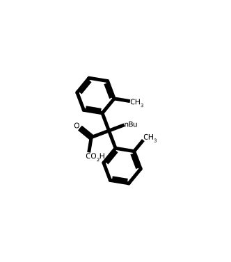 CCCCC(C(=O)C(=O)O)(c1ccccc1C)c1ccccc1C